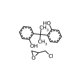 CC(C)(c1ccccc1O)c1ccccc1O.ClCC1CO1